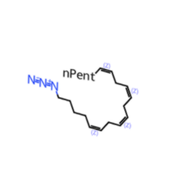 CCCCC/C=C\C/C=C\C/C=C\C/C=C\CCCCN=[N+]=[N-]